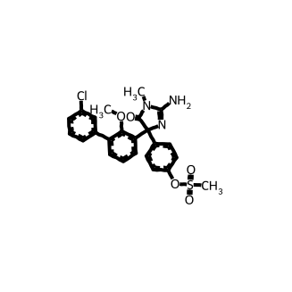 COc1c(-c2cccc(Cl)c2)cccc1C1(c2ccc(OS(C)(=O)=O)cc2)N=C(N)N(C)C1=O